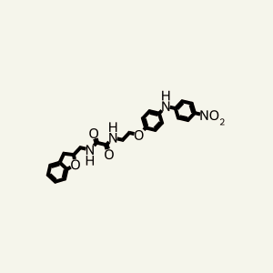 O=C(NCCOc1ccc(Nc2ccc([N+](=O)[O-])cc2)cc1)C(=O)NCC1Cc2ccccc2O1